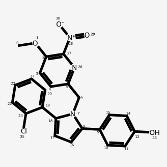 COc1ccc(Cn2c(-c3ccc(O)cc3)ccc2-c2ccccc2Cl)nc1[N+](=O)[O-]